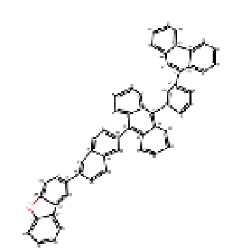 c1cc(-c2c3ccccc3c(-c3ccc4cc(-c5ccc6oc7ccccc7c6c5)ccc4c3)c3ccccc23)cc(-c2cc3ccccc3c3ccccc23)c1